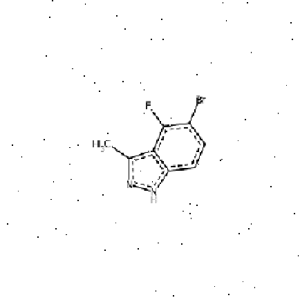 Cc1n[nH]c2ccc(Br)c(F)c12